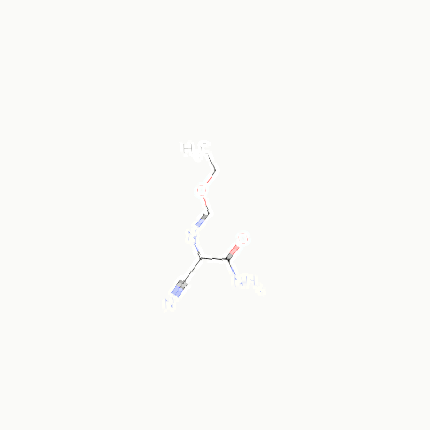 CCOC=NC(C#N)C(N)=O